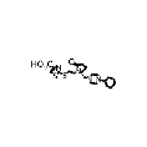 O=C(O)c1csc(SCCN2C(=O)CC[C@@H]2CN2CCN(C3CCCCC3)CC2)n1